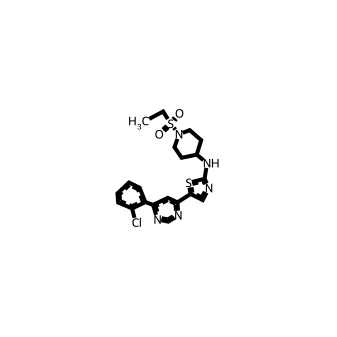 CCS(=O)(=O)N1CCC(Nc2ncc(-c3cc(-c4ccccc4Cl)ncn3)s2)CC1